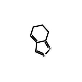 C1=NN=C2CCCC=C12